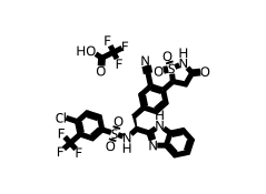 N#Cc1cc(C[C@H](NS(=O)(=O)c2ccc(Cl)c(C(F)(F)F)c2)c2nc3ccccc3[nH]2)ccc1C1CC(=O)NS1(=O)=O.O=C(O)C(F)(F)F